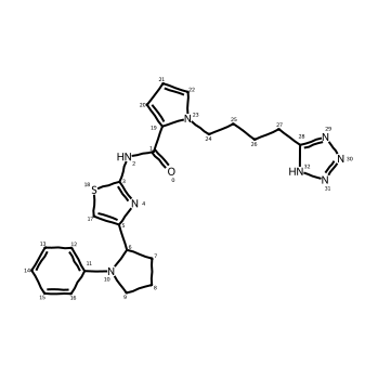 O=C(Nc1nc(C2CCCN2c2ccccc2)cs1)c1cccn1CCCCc1nnn[nH]1